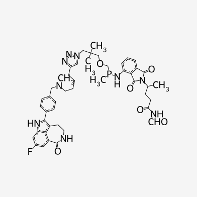 CC(CCC(=O)NC=O)N1C(=O)c2cccc(NP(C)COCC(C)(C)Cn3cc(CCCCN(C)Cc4ccc(-c5[nH]c6cc(F)cc7c6c5CCNC7=O)cc4)nn3)c2C1=O